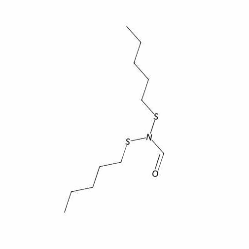 CCCCCSN(C=O)SCCCCC